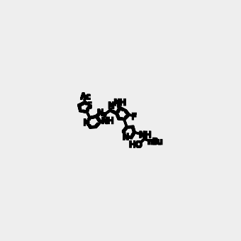 CCCCC(O)Nc1cncc(-c2cc3c(-c4nc5c(-c6ccc(C(C)=O)s6)nccc5[nH]4)n[nH]c3cc2F)c1